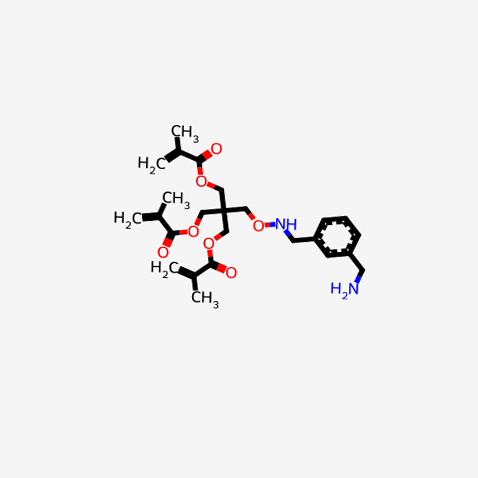 C=C(C)C(=O)OCC(CONCc1cccc(CN)c1)(COC(=O)C(=C)C)COC(=O)C(=C)C